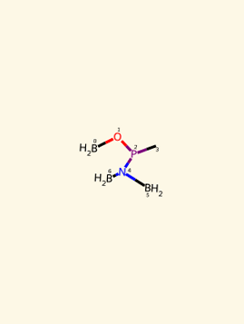 BOP(C)N(B)B